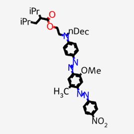 CCCCCCCCCCN(CCOC(=O)C(CC(C)C)C(C)C)c1ccc(/N=N/c2cc(C)c(/N=N/c3ccc([N+](=O)[O-])cc3)cc2OC)cc1